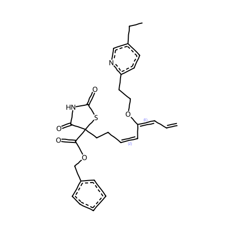 C=C/C=C(\C=C/CCC1(C(=O)OCc2ccccc2)SC(=O)NC1=O)OCCc1ccc(CC)cn1